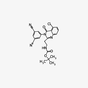 CC(C)(C)OC(=O)NCCc1nc2cccc(Cl)c2c(=O)n1-c1cc(C#N)cc(C#N)c1